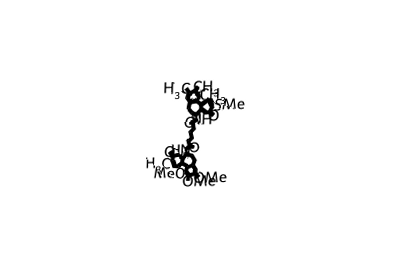 COc1cc2c(c(OC)c1OC)-c1ccc(C)c(=O)cc1[C@@H](NC(=O)CCCCC(=O)N[C@H]1CCc3cc(C)c(C)c(C)c3-c3ccc(SC)c(=O)cc31)CC2